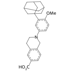 COc1ccc(N2CCc3cc(C(=O)O)ccc3C2)cc1C12CC3CC(CC(C3)C1)C2